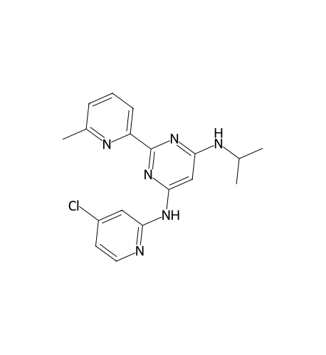 Cc1cccc(-c2nc(Nc3cc(Cl)ccn3)cc(NC(C)C)n2)n1